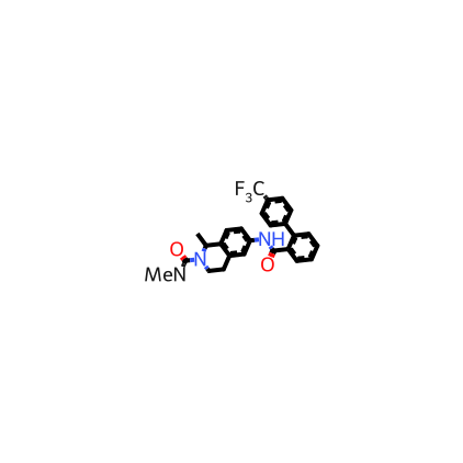 CNC(=O)N1CCc2cc(NC(=O)c3ccccc3-c3ccc(C(F)(F)F)cc3)ccc2C1C